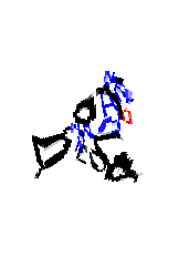 Cc1ccc(CC(CNC(=O)c2c(C)ncn2C)n2c(=NC(=O)O)n(Cc3ccc(C)cc3)c3ccccc32)cc1